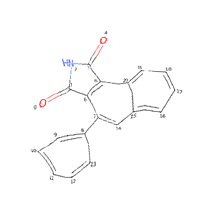 O=C1NC(=O)c2c1c(-c1ccccc1)cc1ccccc21